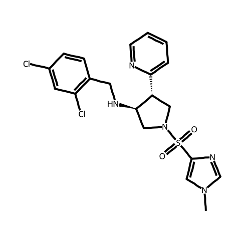 Cn1cnc(S(=O)(=O)N2C[C@@H](NCc3ccc(Cl)cc3Cl)[C@H](c3ccccn3)C2)c1